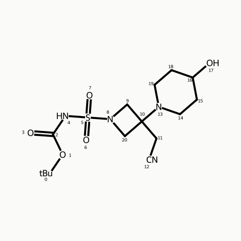 CC(C)(C)OC(=O)NS(=O)(=O)N1CC(CC#N)(N2CCC(O)CC2)C1